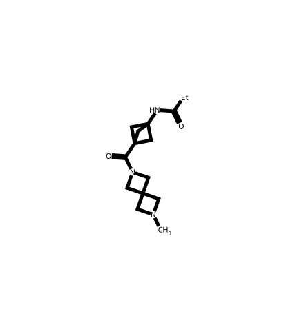 CCC(=O)NC12CC(C(=O)N3CC4(CN(C)C4)C3)(C1)C2